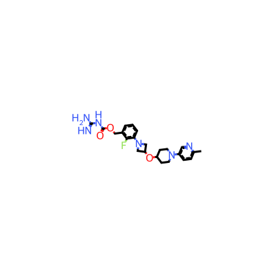 Cc1ccc(N2CCC(OC3CN(c4cccc(COC(=O)NC(=N)N)c4F)C3)CC2)cn1